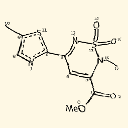 COC(=O)C1=CC(c2ncc(C)s2)=NS(=O)(=O)N1C